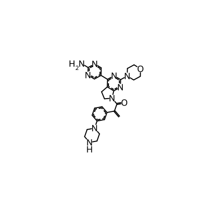 C=C(C(=O)N1CCc2c(-c3cnc(N)nc3)nc(N3CCOCC3)nc21)c1cccc(N2CCNCC2)c1